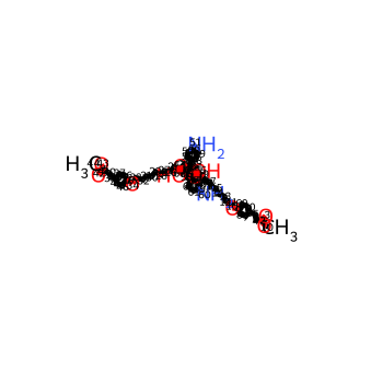 COC(=O)C=Cc1ccc(OCCCCCCCCCCCC(CCCCCCCCCCCOc2ccc(C=CC(=O)OC)cc2)(c2ccc(N)cc2)C(Cc2ccc(N)cc2)(C(=O)O)C(=O)O)cc1